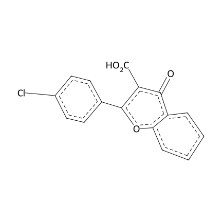 O=C(O)c1c(-c2ccc(Cl)cc2)oc2ccccc2c1=O